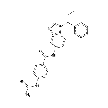 CCC(c1ccccc1)n1cnc2cc(NC(=O)c3ccc(NC(=N)N)cc3)ccc21